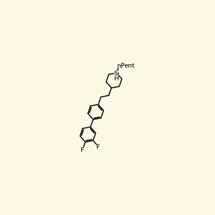 CCCCC[SiH]1CCC(CCc2ccc(-c3ccc(F)c(F)c3)cc2)CC1